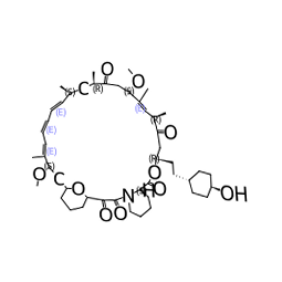 CO[C@H]1CC(=O)[C@H](C)C[C@H](C)/C=C/C=C/C=C(\C)[C@@H](OC)CC2CCCC(O2)C(=O)C(=O)N2CCCC[C@H]2C(=O)O[C@H](CC[C@H]2CC[C@H](O)CC2)CC(=O)[C@H](C)/C=C/1C